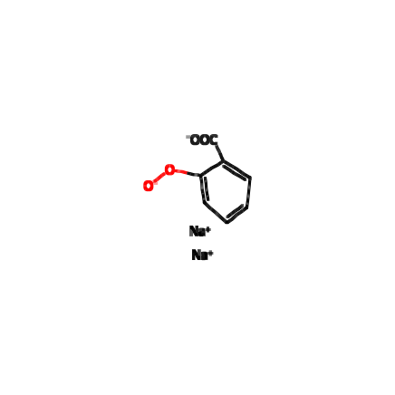 O=C([O-])c1ccccc1O[O-].[Na+].[Na+]